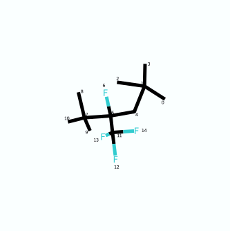 CC(C)(C)CC(F)(C(C)(C)C)C(F)(F)F